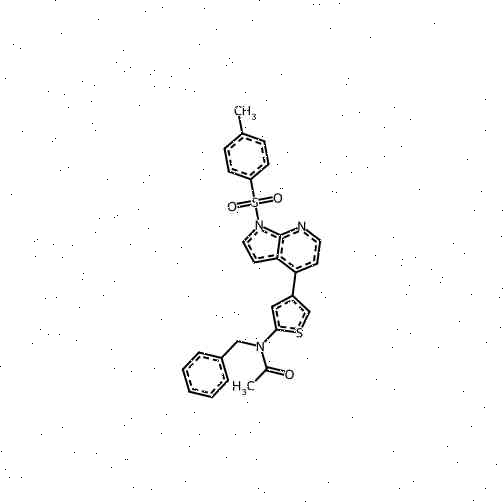 CC(=O)N(Cc1ccccc1)c1cc(-c2ccnc3c2ccn3S(=O)(=O)c2ccc(C)cc2)cs1